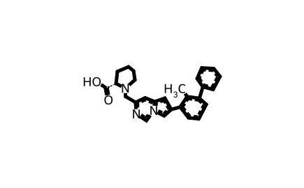 Cc1c(-c2ccccc2)cccc1-c1cc2cc(CN3CCCC[C@H]3C(=O)O)ncn2c1